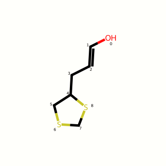 OC=CCC1CSCS1